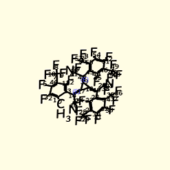 Cc1c(F)c(F)c(C(F)(F)F)c(F)c1/C(C#N)=C1/C(=C(C#N)c2c(F)c(C(F)(F)F)c(F)c(F)c2C(F)(F)F)/C1=C(/C#N)c1c(F)c(C(F)(F)F)c(F)c(F)c1C(F)(F)F